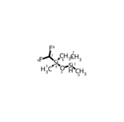 C[SiH](C)O[Si](C)(C)C(F)F